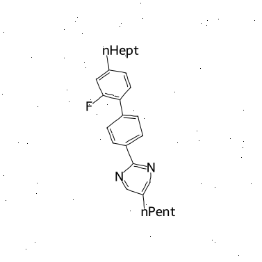 CCCCCCCc1ccc(-c2ccc(-c3ncc(CCCCC)cn3)cc2)c(F)c1